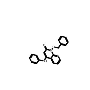 O=c1cc(Nc2ccccc2)c2cccnc2n1OCc1ccccc1